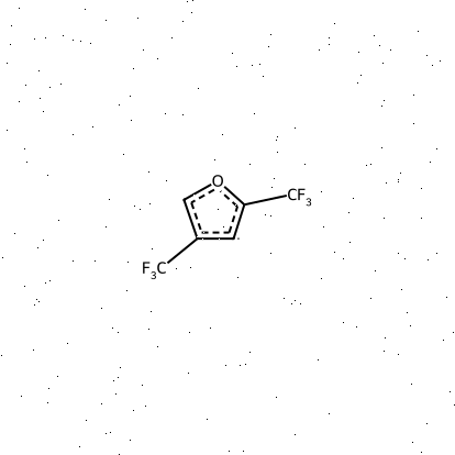 FC(F)(F)c1[c]c(C(F)(F)F)oc1